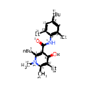 CCCCc1c(C(=O)Nc2c(CC)cc(C(C)(C)C)cc2CC)c(=O)c(CC)c(C)n1C